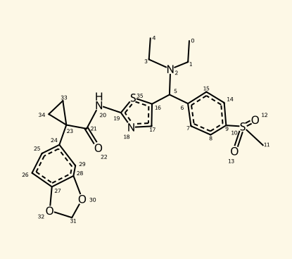 CCN(CC)C(c1ccc(S(C)(=O)=O)cc1)c1cnc(NC(=O)C2(c3ccc4c(c3)OCO4)CC2)s1